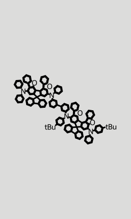 CC(C)(C)c1ccc(N(c2ccccc2)c2cc3c(c4c2oc2ccccc24)-c2c(cc(N(c4ccc(C(C)(C)C)cc4)c4cccc(-c5cccc(N(c6ccccc6)c6cc7c(c8c6oc6ccccc68)-c6c(cc(N(c8ccccc8)c8ccccc8)c8c6oc6ccccc68)C76c7ccccc7-c7ccccc76)c5)c4)c4c2oc2ccccc24)C32c3ccccc3-c3ccccc32)cc1